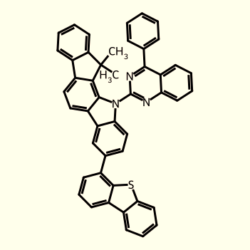 CC1(C)c2ccccc2-c2ccc3c4cc(-c5cccc6c5sc5ccccc56)ccc4n(-c4nc(-c5ccccc5)c5ccccc5n4)c3c21